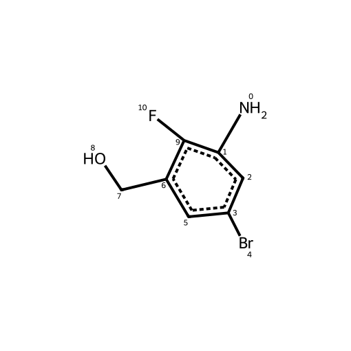 Nc1cc(Br)cc(CO)c1F